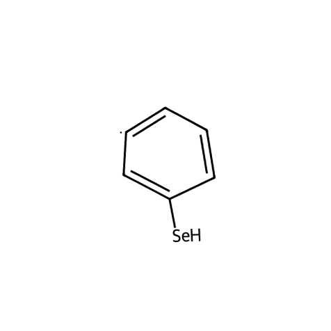 [SeH]c1c[c]ccc1